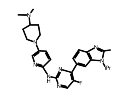 Cc1nc2ccc(-c3nc(Nc4ccc(N5CCC(N(C)C)CC5)cn4)ncc3F)cc2n1C(C)C